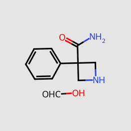 NC(=O)C1(c2ccccc2)CNC1.O=CO